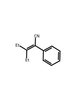 CCC(CC)=C(C#N)c1ccccc1